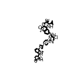 Cn1nc(C2CCC(=O)NC2=O)c2cccc(N3CC(N4CCN(c5ncc(Cl)c(Nc6ccc7c(c6)c6c(c(=O)n7C)OCC(F)(F)C(C7CC7)N6)n5)CC4)C3)c21